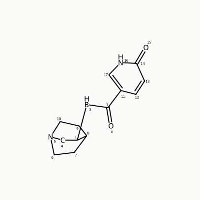 O=C(BC1CN2CCC1CC2)c1ccc(=O)[nH]c1